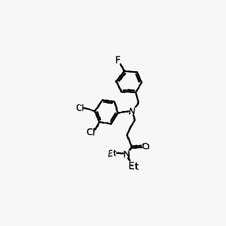 CCN(CC)C(=O)CCN(Cc1ccc(F)cc1)c1ccc(Cl)c(Cl)c1